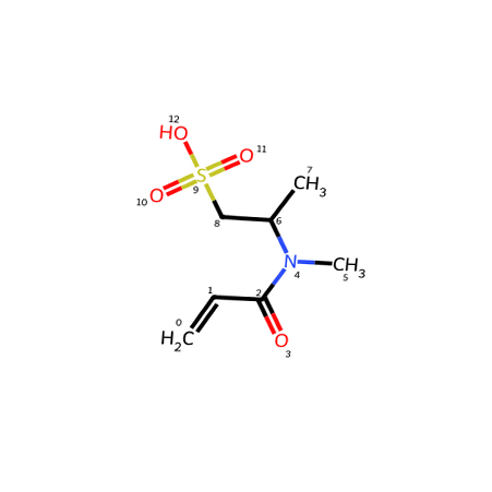 C=CC(=O)N(C)C(C)CS(=O)(=O)O